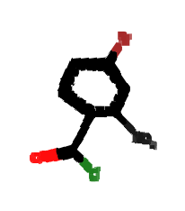 O=C(Cl)c1ccc(Br)cc1[N+](=O)[O-]